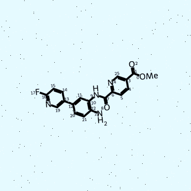 COC(=O)c1ccc(C(=O)Nc2cc(-c3ccc(F)nc3)ccc2N)nc1